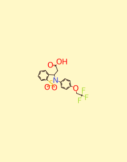 O=C(O)CC1c2ccccc2S(=O)(=O)N1c1ccc(OCC(F)(F)F)cc1